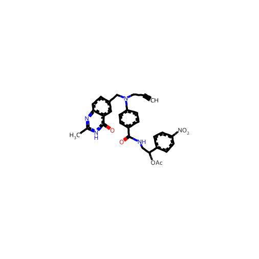 C#CCN(Cc1ccc2nc(C)[nH]c(=O)c2c1)c1ccc(C(=O)NCC(OC(C)=O)c2ccc([N+](=O)[O-])cc2)cc1